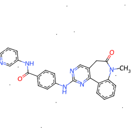 CN1C(=O)Cc2cnc(Nc3ccc(C(=O)Nc4cccnc4)cc3)nc2-c2ccccc21